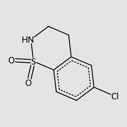 O=S1(=O)NCCc2cc(Cl)ccc21